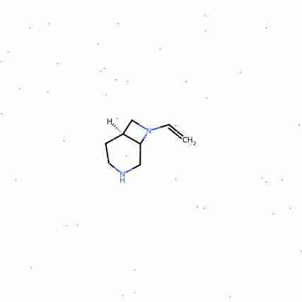 C=CN1C[C@@H]2CCNCC21